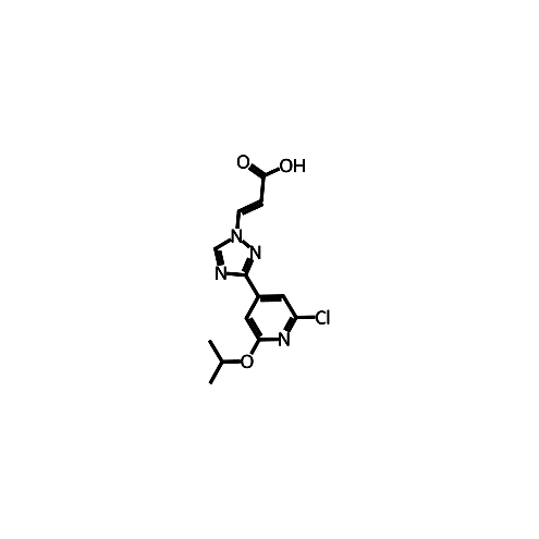 CC(C)Oc1cc(-c2ncn(C=CC(=O)O)n2)cc(Cl)n1